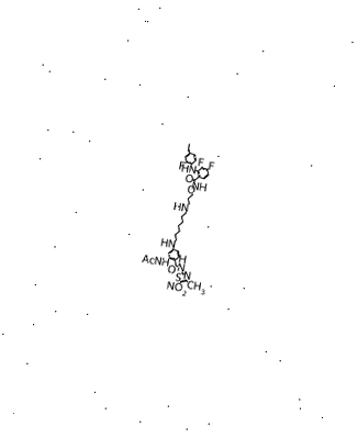 CC(=O)Nc1cc(NCCCCCCCNCCCONC(=O)c2ccc(F)c(F)c2Nc2ccc(I)cc2F)ccc1C(=O)Nc1nc(C)c([N+](=O)[O-])s1